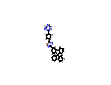 c1ccc(C2(c3ccccc3)c3ccccc3-c3cc(-c4nsc(-c5ccc(-c6ncncn6)cc5)n4)ccc32)cc1